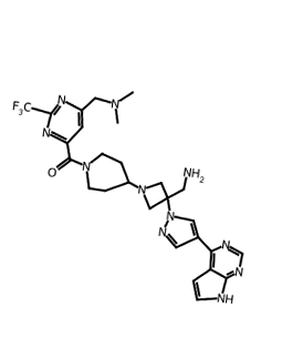 CN(C)Cc1cc(C(=O)N2CCC(N3CC(CN)(n4cc(-c5ncnc6[nH]ccc56)cn4)C3)CC2)nc(C(F)(F)F)n1